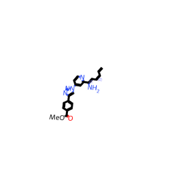 C=C/C=C\C=C(/N)c1cc(-n2cc(-c3ccc(C(=O)OC)cc3)nn2)ccn1